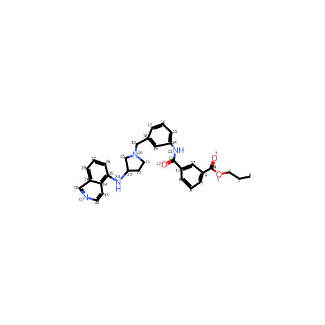 CCCOC(=O)c1cccc(C(=O)Nc2cccc(CN3CCC(Nc4cccc5cnccc45)C3)c2)c1